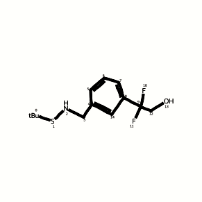 CC(C)(C)SNCc1cccc(C(F)(F)CO)c1